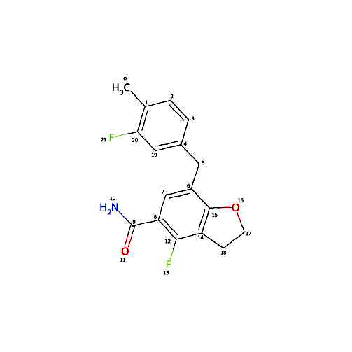 Cc1ccc(Cc2cc(C(N)=O)c(F)c3c2OCC3)cc1F